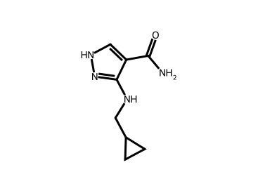 NC(=O)c1c[nH]nc1NCC1CC1